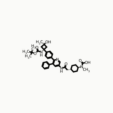 CN(C(=O)O)[C@H]1CC[C@H](CC(=O)Nc2cnc(-c3ccc([C@]4(NC(=O)OC(C)(C)C)C[C@](C)(O)C4)cc3)c(-c3ccccc3)c2)CC1